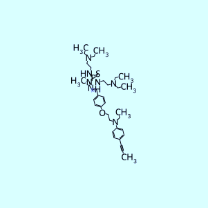 CC#Cc1ccc(N(CC)CCOc2ccc(/C=N/N(C)P(=S)(NCCN(CC)CC)NCCN(CC)CC)cc2)cc1